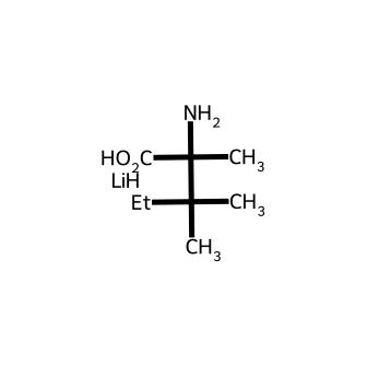 CCC(C)(C)C(C)(N)C(=O)O.[LiH]